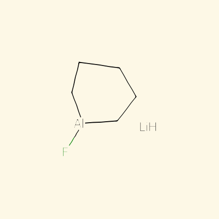 [F][Al]1[CH2]CCC[CH2]1.[LiH]